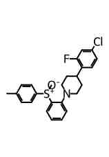 Cc1ccc([S+]([O-])c2ccccc2N2CCC(c3ccc(Cl)cc3F)CC2)cc1